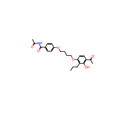 CCCc1c(OCCCCOc2ccc(C(=O)NC(C)=O)cc2)ccc(C(C)=O)c1O